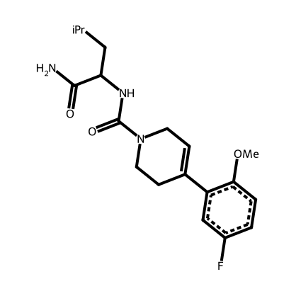 COc1ccc(F)cc1C1=CCN(C(=O)NC(CC(C)C)C(N)=O)CC1